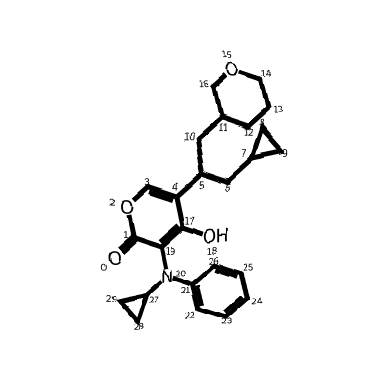 O=c1occ(C(CC2CC2)CC2CCCOC2)c(O)c1N(c1ccccc1)C1CC1